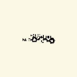 COc1ccc(C[C@@H](C(=O)O)N(C)C(=O)[C@@H](N)Cc2ccccc2)cc1